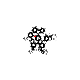 Cc1cccc(C)c1-c1nc2cc(C(C)(C)C)cc3c2n1-c1cc(-n2c4ccccc4c4ccccc42)cc2c1C3c1cc(C(C)(C)C)ccc1N2c1ccc(C(C)(C)C)cc1